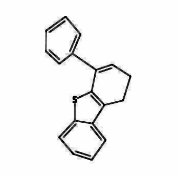 C1=C(c2ccccc2)c2sc3ccccc3c2CC1